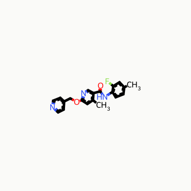 Cc1ccc(NC(=O)c2cnc(OCc3ccncc3)cc2C)c(F)c1